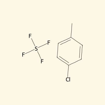 Cc1ccc(Cl)cc1.FS(F)(F)F